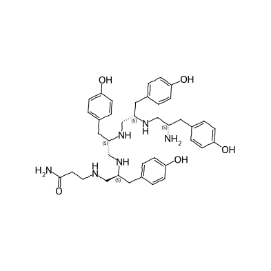 NC(=O)CCNC[C@H](Cc1ccc(O)cc1)NC[C@H](Cc1ccc(O)cc1)NC[C@H](Cc1ccc(O)cc1)NC[C@@H](N)Cc1ccc(O)cc1